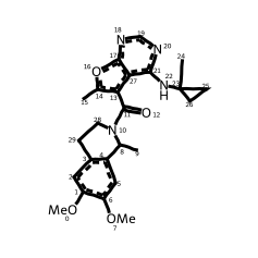 COc1cc2c(cc1OC)C(C)N(C(=O)c1c(C)oc3ncnc(NC4(C)CC4)c13)CC2